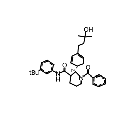 CC(C)(O)CCC1=CCC([C@H]2C(C(=O)Nc3cccc(C(C)(C)C)c3)CCCN2C(=O)c2ccccc2)C=C1